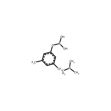 CN(C)C.OB(O)Oc1cc(C(F)(F)F)cc(C(F)(F)F)c1